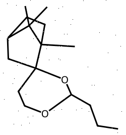 CCCC1OCCC2(CC3CCC2(C)C3(C)C)O1